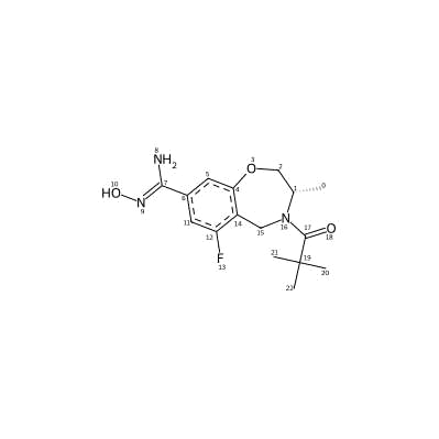 C[C@H]1COc2cc(C(N)=NO)cc(F)c2CN1C(=O)C(C)(C)C